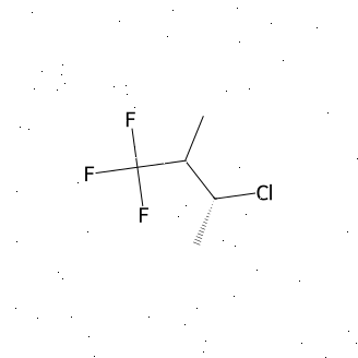 CC([C@@H](C)Cl)C(F)(F)F